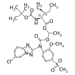 CC[C@H](C)[C@H](NC(=O)OC(C)(C)C)C(=O)OC(C)OC(=O)N(c1nc2ccc(Cl)cn2n1)c1ccc(S(C)(=O)=O)cc1OC